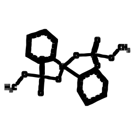 COS(=O)(=O)O[Si](OS(=O)(=O)OC)(c1ccccc1)c1ccccc1